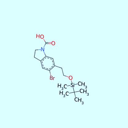 CC(C)(C)[Si](C)(C)OCCc1cc2c(cc1Br)CCN2C(=O)O